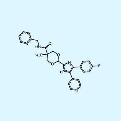 CC1(C(=O)NCc2ccccn2)COC(c2nc(-c3ccc(F)cc3)c(-c3ccncc3)[nH]2)OC1